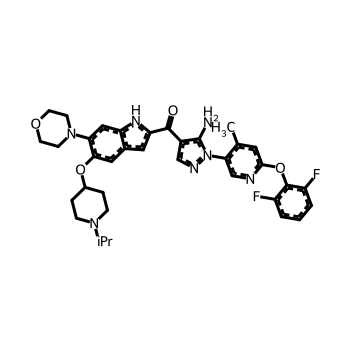 Cc1cc(Oc2c(F)cccc2F)ncc1-n1ncc(C(=O)c2cc3cc(OC4CCN(C(C)C)CC4)c(N4CCOCC4)cc3[nH]2)c1N